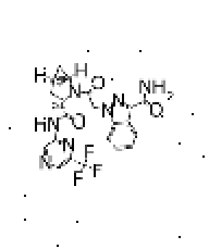 NC(=O)c1nn(CC(=O)N2[C@@H]3C[C@@H]3C[C@H]2C(=O)Nc2cncc(C(F)(F)F)n2)c2ccccc12